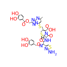 Cc1cc(SCC2=C(C(=O)O)N3C(=O)[C@@H](NC(=O)/C(=N\OCc4ccc(O)c(O)c4)c4csc(N)n4)[C@H]3SC2)n2nc(COC(=O)c3ccc(O)c(O)c3)nc2n1